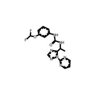 CC(NC(=O)Nc1cccc(OC(F)F)c1)c1ncnn1-c1ncccn1